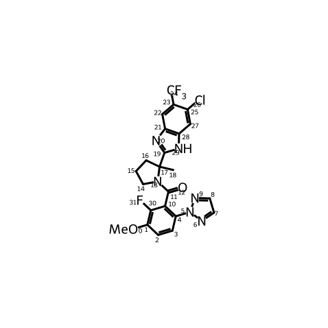 COc1ccc(-n2nccn2)c(C(=O)N2CCCC2(C)c2nc3cc(C(F)(F)F)c(Cl)cc3[nH]2)c1F